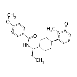 CC[C@@H](NC(=O)c1ccc(OC)nc1)[C@H]1CC[C@H](c2cccc(=O)n2C)CC1